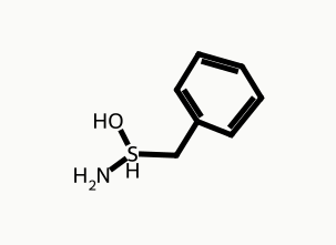 N[SH](O)Cc1ccccc1